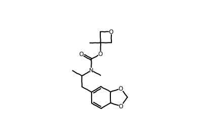 CC(CC1=CC2OCOC2C=C1)N(C)C(=O)OC1(C)COC1